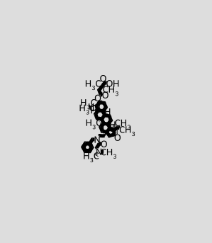 CC(C)C1=C2[C@H]3CC[C@@H]4[C@@]5(C)CC[C@H](OC(=O)CC(C)(C)C(=O)O)C(C)(C)[C@@H]5CC[C@@]4(C)[C@]3(C)CC[C@@]2(CCN(Cc2ccccc2)C(=O)CN(C)C)CC1=O